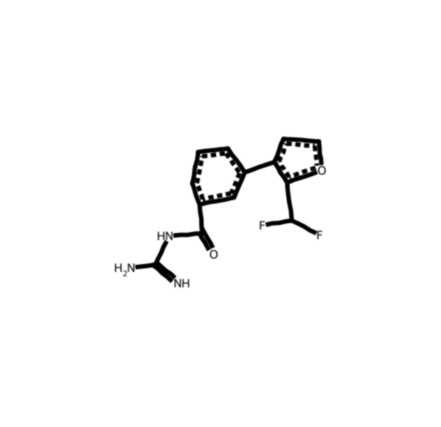 N=C(N)NC(=O)c1cccc(-c2ccoc2C(F)F)c1